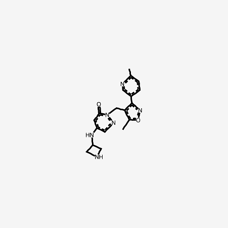 Cc1ccc(-c2noc(C)c2Cn2ncc(NC3CNC3)cc2=O)cn1